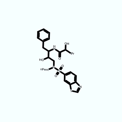 CCCCCN(CC(O)C(Cc1ccccc1)NC(=O)C(O)C(C)C)S(=O)(=O)c1ccc2ncsc2c1